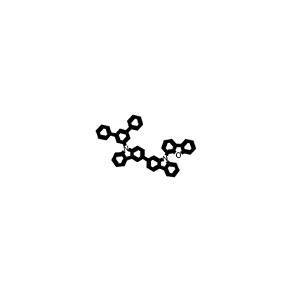 c1ccc(-c2cc(-c3ccccc3)cc(-n3c4ccccc4c4cc(-c5ccc6c7ccccc7n(-c7cccc8c7oc7ccccc78)c6c5)ccc43)c2)cc1